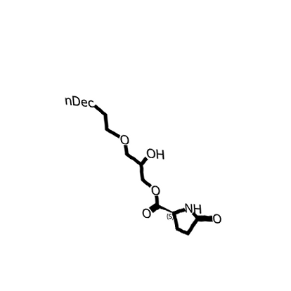 CCCCCCCCCCCCOCC(O)COC(=O)[C@@H]1CCC(=O)N1